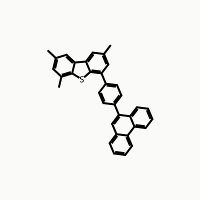 Cc1cc(C)c2sc3c(-c4ccc(-c5cc6ccccc6c6ccccc56)cc4)cc(C)cc3c2c1